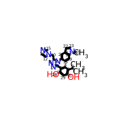 CC(C)c1cc(-c2nnc(Cn3ccnc3)n2-c2ccc3c(ccn3C)c2)c(O)cc1O